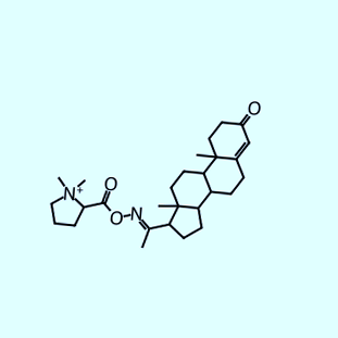 CC(=NOC(=O)C1CCC[N+]1(C)C)C1CCC2C3CCC4=CC(=O)CCC4(C)C3CCC12C